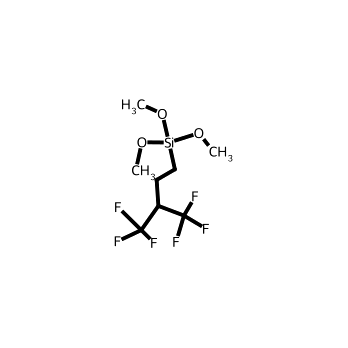 CO[Si](CCC(C(F)(F)F)C(F)(F)F)(OC)OC